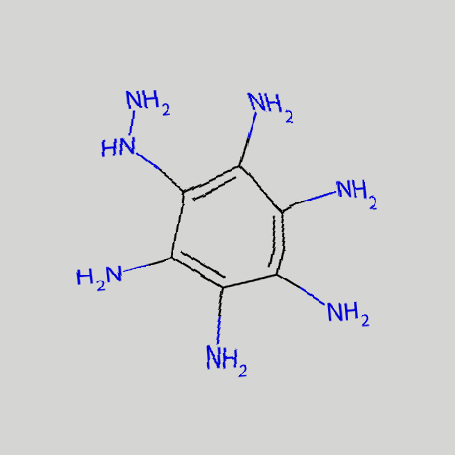 NNc1c(N)c(N)c(N)c(N)c1N